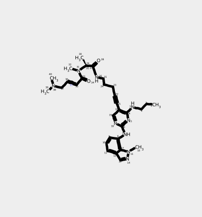 CCCNc1nc(Nc2cccc3cnn(C)c23)ncc1C#CCCCNC(=O)[C@H](C)N(C)C(=O)/C=C/CN(C)C